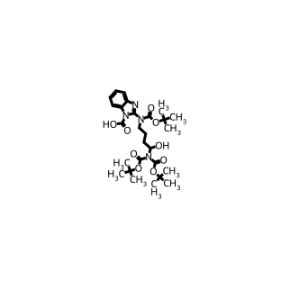 CC(C)(C)OC(=O)N(CCCC(O)N(C(=O)OC(C)(C)C)C(=O)OC(C)(C)C)c1nc2ccccc2n1C(=O)O